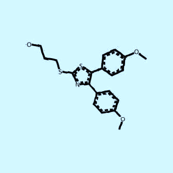 COc1ccc(-c2nc(SCCC[O])sc2-c2ccc(OC)cc2)cc1